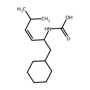 CC(C)/C=C\C(CC1CCCCC1)NC(=O)O